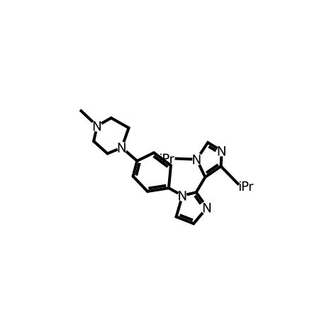 CC(C)c1ncn(C(C)C)c1-c1nccn1-c1ccc(N2CCN(C)CC2)cc1